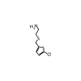 NCCSCc1ccc(Cl)s1